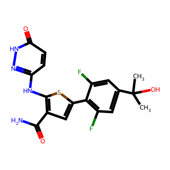 CC(C)(O)c1cc(F)c(-c2cc(C(N)=O)c(Nc3ccc(=O)[nH]n3)s2)c(F)c1